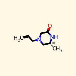 C=CCN1CC(=O)N[C@H](C)C1